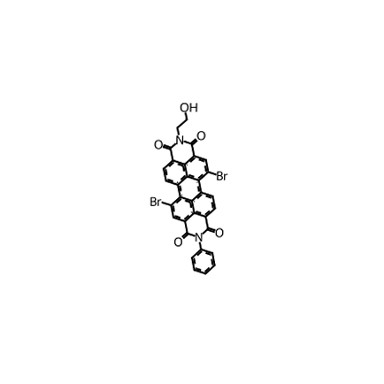 O=C1c2ccc3c4c(Br)cc5c6c(ccc(c7c(Br)cc(c2c37)C(=O)N1CCO)c64)C(=O)N(c1ccccc1)C5=O